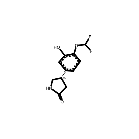 O=C1C[C@@H](c2ccc(OC(F)F)c(O)c2)CN1